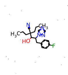 CCCC(C#N)(CCC)C(O)C(Cc1ccc(F)cc1)n1cncn1